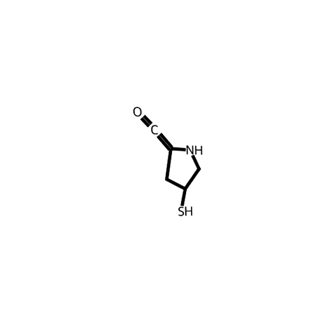 O=C=C1CC(S)CN1